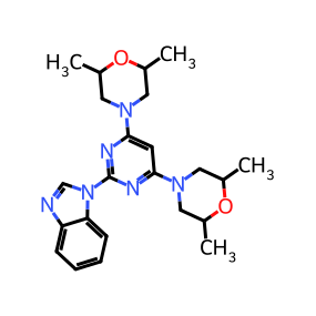 CC1CN(c2cc(N3CC(C)OC(C)C3)nc(-n3cnc4ccccc43)n2)CC(C)O1